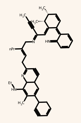 CC#CC(/C=C1/C(=C2/C=CC=CC2=N)C=C[C@@H](C)[C@H]1C)=N\C/C(=C/CC1=NC2C(NCC)=C(C)C(C3C#CC=CC3)=CC2C#C1)CCC